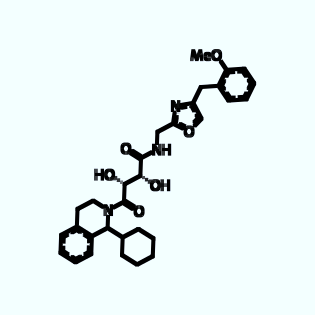 COc1ccccc1Cc1coc(CNC(=O)[C@H](O)[C@@H](O)C(=O)N2CCc3ccccc3C2C2CCCCC2)n1